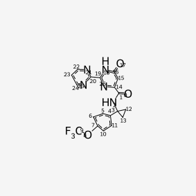 O=C(NC1(c2ccc(OC(F)(F)F)cc2)CC1)c1cc(=O)[nH]c(-c2ncccn2)n1